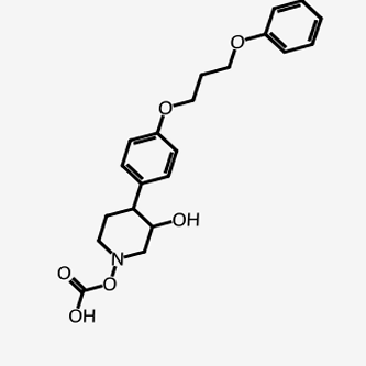 O=C(O)ON1CCC(c2ccc(OCCCOc3ccccc3)cc2)C(O)C1